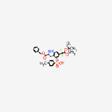 CC(C)(C)OC(=O)C(F)(F)c1ccc(CC(N)C(=O)OCc2ccccc2)cc1.Cc1ccc(S(=O)(=O)O)cc1